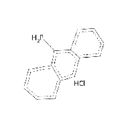 Cl.Pc1c2ccccc2cc2ccccc12